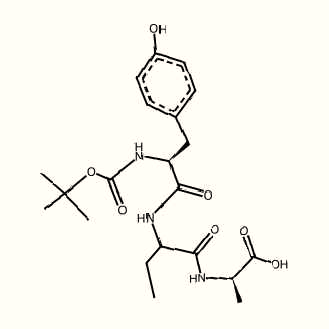 CCC(NC(=O)[C@H](Cc1ccc(O)cc1)NC(=O)OC(C)(C)C)C(=O)N[C@H](C)C(=O)O